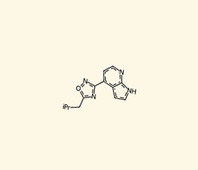 CC(C)Cc1nc(-c2ccnc3[nH]ccc23)no1